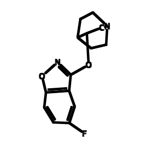 Fc1ccc2onc(OC3CN4CCC3CC4)c2c1